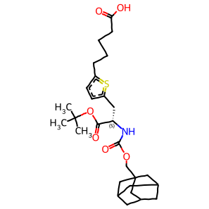 CC(C)(C)OC(=O)[C@H](Cc1ccc(CCCCC(=O)O)s1)NC(=O)OCC12CC3CC(CC(C3)C1)C2